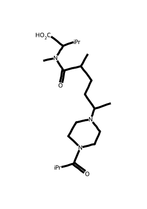 CC(C)C(=O)N1CCN(C(C)CCC(C)C(=O)N(C)C(C(=O)O)C(C)C)CC1